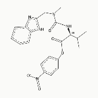 CC(C)[C@H](NC(=O)N(C)Cc1nc2ccccc2[nH]1)C(=O)Oc1ccc([N+](=O)[O-])cc1